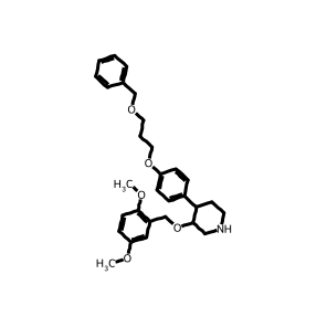 COc1ccc(OC)c(COC2CNCCC2c2ccc(OCCCOCc3ccccc3)cc2)c1